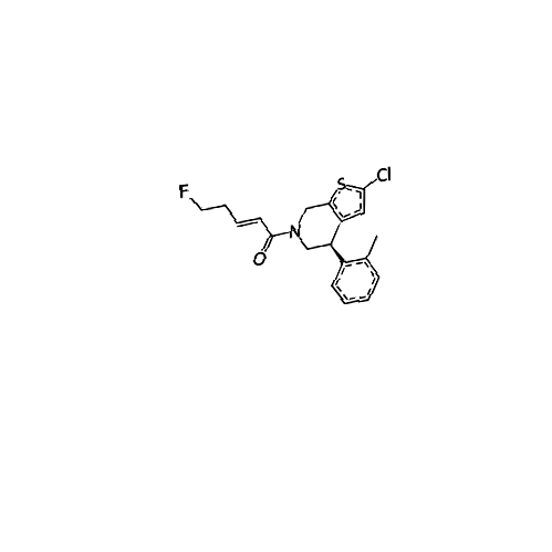 Cc1ccccc1[C@H]1CN(C(=O)/C=C/CCF)Cc2sc(Cl)cc21